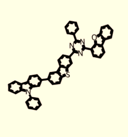 c1ccc(-c2nc(-c3ccc4c(c3)sc3ccc(-c5ccc6c7ccccc7n(-c7ccccc7)c6c5)cc34)nc(-c3cccc4c3oc3ccccc34)n2)cc1